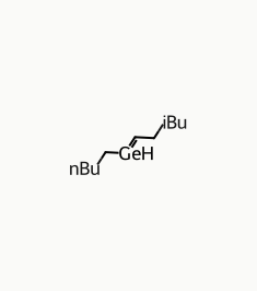 [CH2]CC(C)C[CH]=[GeH][CH2]CCCC